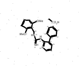 CC(=O)O.COc1cccc(OC)c1CNC(=N)Nc1ncccc1-c1ccccc1